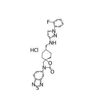 Cl.O=C1O[C@]2(CC[C@H](CNc3ccn(-c4ccccc4F)n3)CC2)CN1c1ccc2nsnc2c1